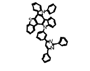 c1ccc(-c2cc(-c3cccc(-n4c5ccccc5c5c6c(c7ccccc7n6-c6ccccc6)c6sc7ccccc7c6c54)c3)nc(-c3ccccc3)n2)cc1